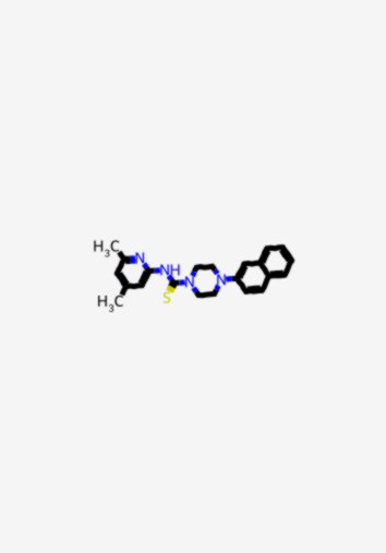 Cc1cc(C)nc(NC(=S)N2CCN(c3ccc4ccccc4c3)CC2)c1